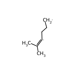 [CH2]CC[C]=C(C)C